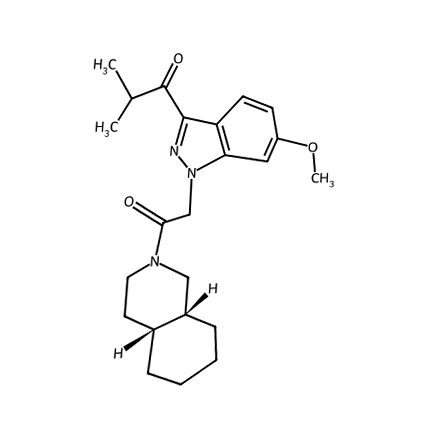 COc1ccc2c(C(=O)C(C)C)nn(CC(=O)N3CC[C@H]4CCCC[C@H]4C3)c2c1